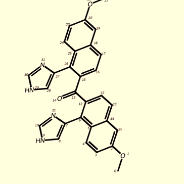 COc1ccc2c(-c3c[nH]cn3)c(C(=O)c3ccc4cc(OC)ccc4c3-c3c[nH]cn3)ccc2c1